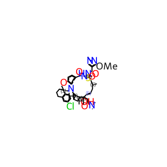 COc1nn(C)cc1C(=O)N[S@@]1(=O)=NC(=O)c2ccc3c(c2)N(C[C@@H]2CC[C@H]2[C@@](O)(CC(=O)N(C)C)/C=C/C[C@H](C)C1)C[C@@]1(CCCc2cc(Cl)ccc21)CO3